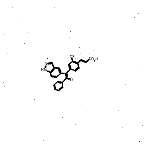 CCC(=C(c1ccc(C=CC(=O)O)c(C(F)(F)F)c1)c1ccc2[nH]ncc2c1)c1ccccc1